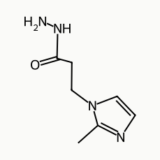 Cc1nccn1CCC(=O)NN